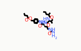 CCCC(=O)OCc1ccc(NC(=O)[C@H](CCCNC(N)=O)NC(=O)C(NC(=O)C(C)CCC)C(C)C)cc1